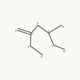 C=C(CC)CC(C)CC